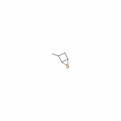 CC1CC2SC12